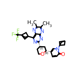 Cc1nc2nc([C@H]3CCO[C@@H](c4ccc(=O)n(C56CC(C5)C6)c4)C3)nc(C34CC(C(F)(F)F)(C3)C4)c2nc1C